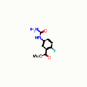 COC(=O)c1cc(NC(N)=O)ccc1F